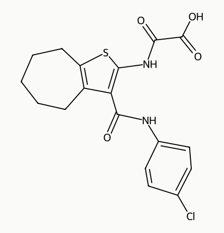 O=C(O)C(=O)Nc1sc2c(c1C(=O)Nc1ccc(Cl)cc1)CCCCC2